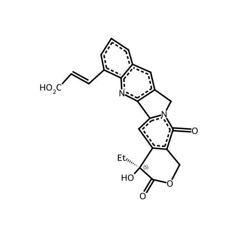 CC[C@@]1(O)C(=O)OCc2c1cc1n(c2=O)Cc2cc3cccc(C=CC(=O)O)c3nc2-1